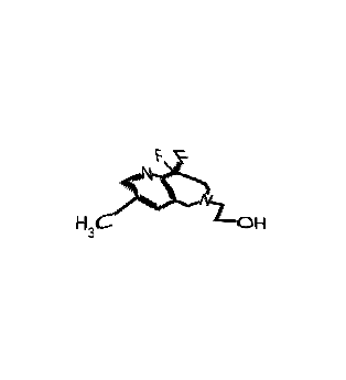 Cc1cnc2c(c1)CN(CCO)CC2(F)F